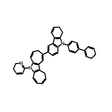 C1=CCc2c3c(n(C4=NCCC=C4)c2C=C1)C=CCC(c1ccc2c(c1)c1c(n2-c2ccc(C4=CCCC=C4)cc2)CCC=C1)=C3